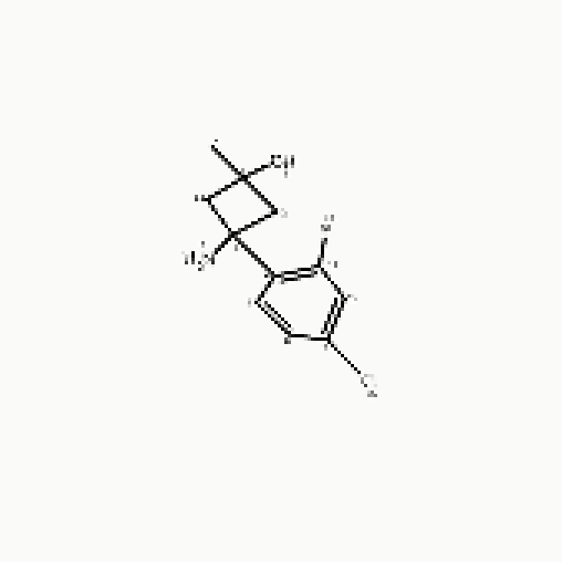 CC1(O)CC(N)(c2ccc(Cl)cc2F)C1